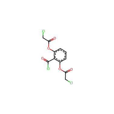 O=C(CCl)Oc1cccc(OC(=O)CCl)c1C(=O)Cl